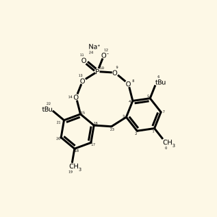 Cc1cc2c(c(C(C)(C)C)c1)OOP(=O)([O-])OOc1c(cc(C)cc1C(C)(C)C)C2.[Na+]